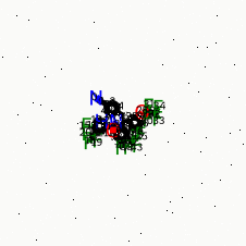 N#Cc1ccc(C[C@@](NC(=O)c2ccc(F)c(C(F)(F)F)c2)(c2cc(F)cc(OC(F)(F)C(F)F)c2)c2ccc(F)c(C(F)(F)F)c2)cc1